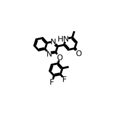 Cc1cc(=O)cc(-c2nc3ccccc3nc2Oc2ccc(F)c(F)c2C)[nH]1